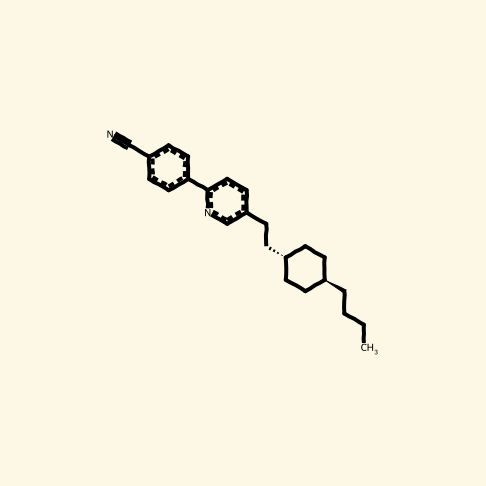 CCCC[C@H]1CC[C@H](CCc2ccc(-c3ccc(C#N)cc3)nc2)CC1